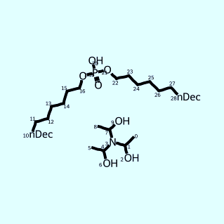 CC(O)N(C(C)O)C(C)O.CCCCCCCCCCCCCCCCOP(=O)(O)OCCCCCCCCCCCCCCCC